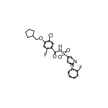 O=C(NS(=O)(=O)c1cnn(-c2ccccc2F)c1)c1cc(Cl)c(OCC2CCCC2)cc1F